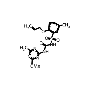 C=CCOc1ccc(C)cc1S(=O)(=O)NC(=O)Nc1nc(C)nc(OC)n1